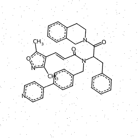 Cc1noc(C)c1C=CC(=O)N(Cc1ccc(-c2ccncc2)cc1)C(Cc1ccccc1)C(=O)N1CCc2ccccc2C1